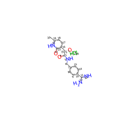 CCO[C@H](C(=O)NCc1ccc(C(=N)N)cc1)c1ccc(C)[nH]c1=O.Cl